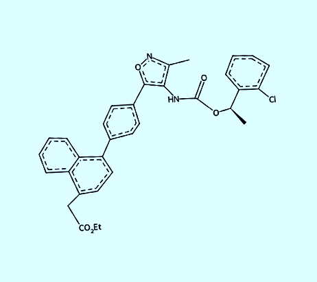 CCOC(=O)Cc1ccc(-c2ccc(-c3onc(C)c3NC(=O)O[C@H](C)c3ccccc3Cl)cc2)c2ccccc12